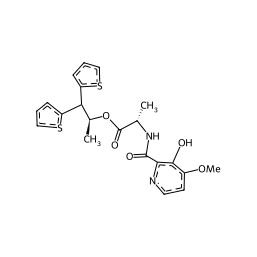 COc1ccnc(C(=O)N[C@@H](C)C(=O)O[C@@H](C)C(c2cccs2)c2cccs2)c1O